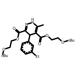 CCCCOCCOC(=O)C1=NNC(C)=C(C(=O)OCCOCCCC)C1c1cccc(CC)c1